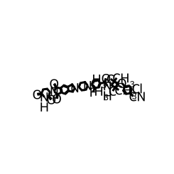 CC1(C)[C@H](NC(=O)c2ccc(N3CCC(N4Cc5cc6c(cc5C4)C(=O)N(C4CCC(=O)NC4=O)C6=O)CC3)c(F)c2)C(C)(C)[C@H]1Oc1ccc(C#N)c(Cl)c1